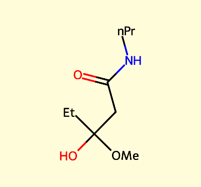 CCCNC(=O)CC(O)(CC)OC